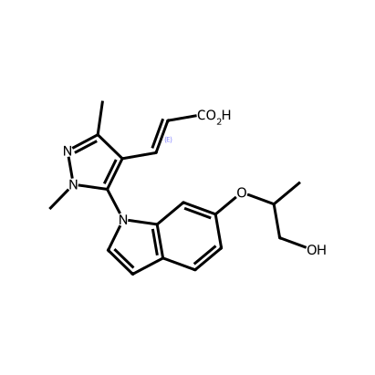 Cc1nn(C)c(-n2ccc3ccc(OC(C)CO)cc32)c1/C=C/C(=O)O